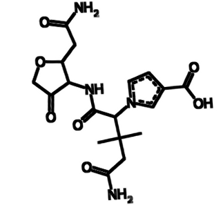 CC(C)(CC(N)=O)C(C(=O)NC1C(=O)COC1CC(N)=O)n1ccc(C(=O)O)c1